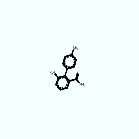 NC(=O)c1cccc(N)c1-c1ccc(N)cc1